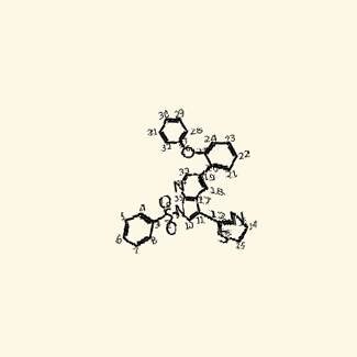 O=S(=O)(c1ccccc1)n1cc(-c2nccs2)c2cc(-c3ccccc3Oc3ccccc3)cnc21